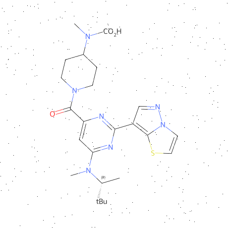 C[C@@H](N(C)c1cc(C(=O)N2CCC(N(C)C(=O)O)CC2)nc(-c2cnn3ccsc23)n1)C(C)(C)C